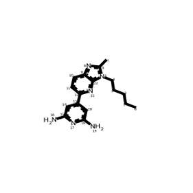 CCCCCn1c(C)nc2ccc(-c3cc(N)nc(N)c3)nc21